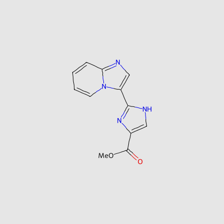 COC(=O)c1c[nH]c(-c2cnc3ccccn23)n1